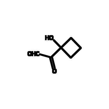 O=CC(=O)C1(O)CCC1